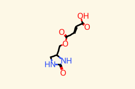 O=C(O)/C=C/C(=O)OCC1CNC(=O)N1